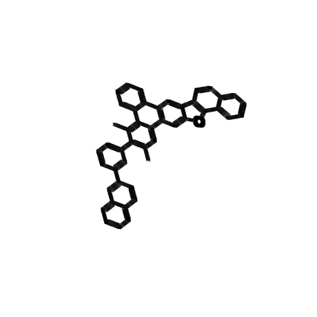 Cc1cc2c3cc4oc5c6ccccc6ccc5c4cc3c3ccccc3c2c(C)c1-c1cccc(-c2ccc3ccccc3c2)c1